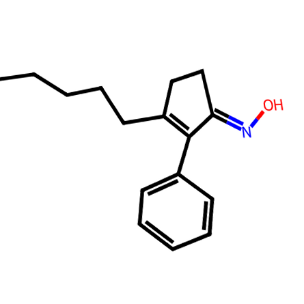 CCCCCC1=C(c2ccccc2)C(=NO)CC1